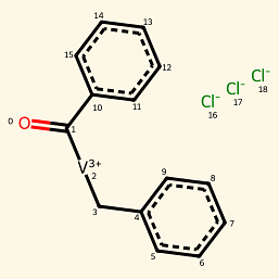 O=[C]([V+3][CH2]c1ccccc1)c1ccccc1.[Cl-].[Cl-].[Cl-]